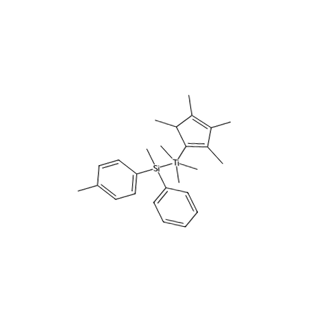 CC1=C(C)C(C)[C]([Ti]([CH3])([CH3])([CH3])[Si](C)(c2ccccc2)c2ccc(C)cc2)=C1C